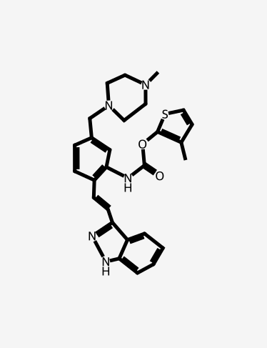 Cc1ccsc1OC(=O)Nc1cc(CN2CCN(C)CC2)ccc1/C=C/c1n[nH]c2ccccc12